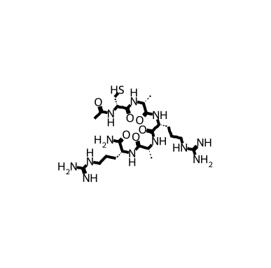 CC(=O)N[C@H](CS)C(=O)N[C@H](C)C(=O)N[C@H](CCCNC(=N)N)C(=O)N[C@H](C)C(=O)N[C@H](CCCNC(=N)N)C(N)=O